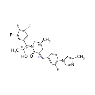 Cc1cn(-c2ccc(/C=C3\C[C@H](C)CN([C@H](c4cc(F)c(F)c(F)c4)[C@@H](C)O)C3=O)cc2F)cn1